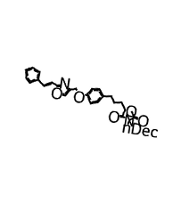 CCCCCCCCCCN1C(=O)OC(CCCc2ccc(OCc3coc(/C=C/c4ccccc4)n3)cc2)C1=O